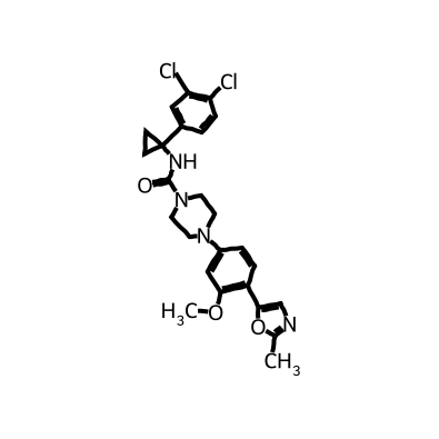 COc1cc(N2CCN(C(=O)NC3(c4ccc(Cl)c(Cl)c4)CC3)CC2)ccc1-c1cnc(C)o1